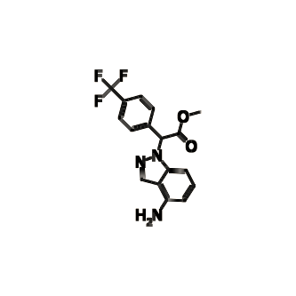 COC(=O)C(c1ccc(C(F)(F)F)cc1)n1ncc2c(N)cccc21